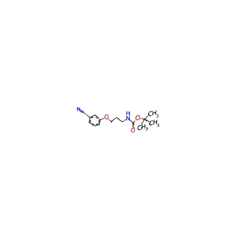 CC(C)(C)OC(=O)NCCCOc1cccc(C#N)c1